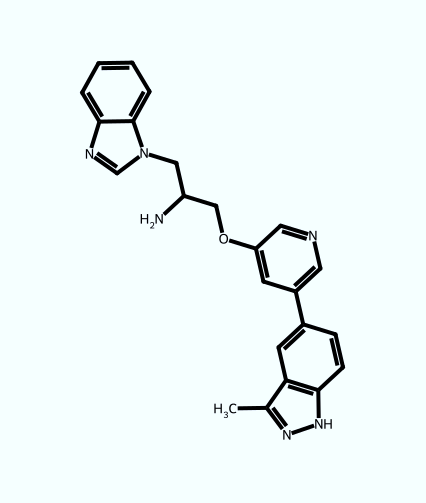 Cc1n[nH]c2ccc(-c3cncc(OCC(N)Cn4cnc5ccccc54)c3)cc12